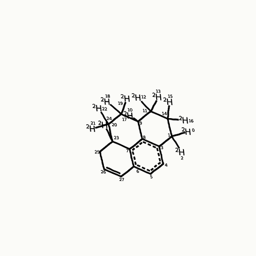 [2H]C1([2H])c2ccc3c4c2C([2H])(C([2H])([2H])C1([2H])[2H])C([2H])([2H])C([2H])([2H])C4([2H])CC=C3